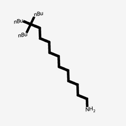 CCCCC(CCCC)(CCCC)CCCCCCCCCCCN